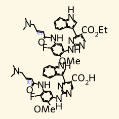 CCOC(=O)c1cnc(Nc2cc(NC(=O)/C=C/CN(C)C)c(F)cc2OC)nc1-c1c[nH]c2ccccc12.COc1cc(F)c(NC(=O)/C=C/CN(C)C)cc1Nc1ncc(C(=O)O)c(-c2c[nH]c3ccccc23)n1